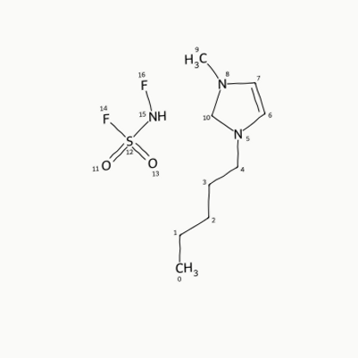 CCCCCN1C=CN(C)C1.O=S(=O)(F)NF